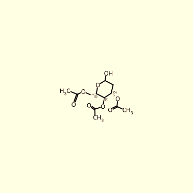 CC(=O)OC[C@@H]1OC(O)C[C@H](OC(C)=O)[C@H]1OC(C)=O